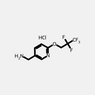 Cl.NCc1ccc(OCC(F)(F)C(F)(F)F)nc1